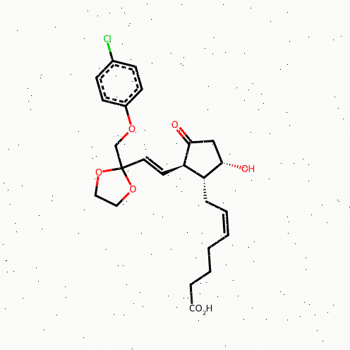 O=C(O)CCC/C=C\C[C@H]1[C@@H](O)CC(=O)[C@@H]1/C=C/C1(COc2ccc(Cl)cc2)OCCO1